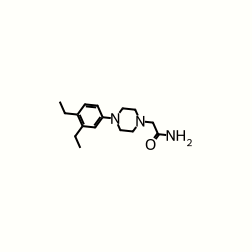 CCc1ccc(N2CCN(CC(N)=O)CC2)cc1CC